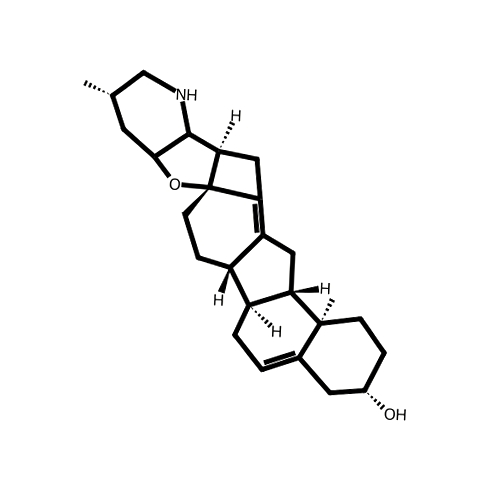 C[C@@H]1CNC2C(C1)O[C@@]13CC[C@@H]4C(=C1C[C@H]23)C[C@H]1[C@H]4CC=C2C[C@@H](O)CC[C@@]21C